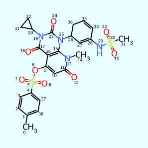 Cc1ccc(S(=O)(=O)Oc2cc(=O)n(C)c3c2c(=O)n(C2CC2)c(=O)n3C2C=C(NS(C)(=O)=O)C=CC2)cc1